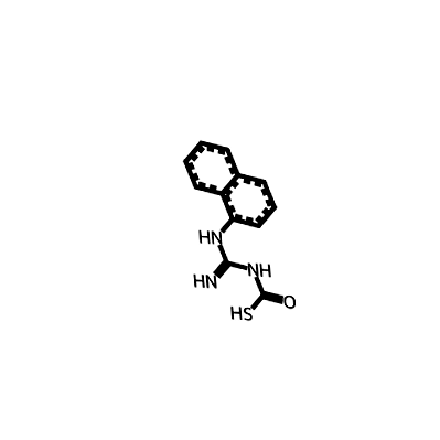 N=C(NC(=O)S)Nc1cccc2ccccc12